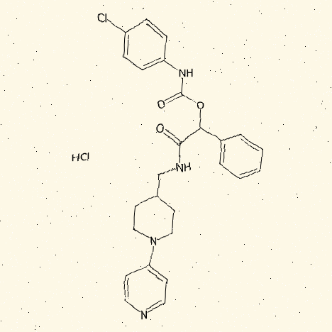 Cl.O=C(Nc1ccc(Cl)cc1)OC(C(=O)NCC1CCN(c2ccncc2)CC1)c1ccccc1